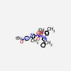 Cc1ccc(-n2nc(C3(C)CCCCC3)cc2NC(=O)N(OS(C)(=O)=O)c2cnc(N3CCN(C(=O)C(C)(C)C)CC3)c(C)c2)cc1